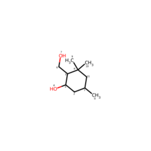 CC1CC(O)C(CO)C(C)(C)C1